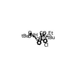 CCOC(=O)CC1OC(c2ccccc2OCCCNC(=O)OC(C)(C)C)c2cc(Cl)ccc2N(CC(C)(C)C)C1=O